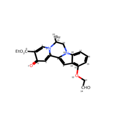 CCOC(=O)c1cn2c(cc1=O)-c1cc3c(OCC=O)cccc3n1CC2C(C)(C)C